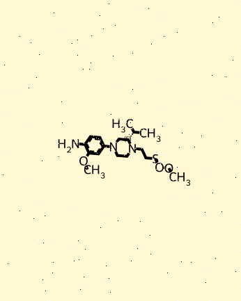 COOSCCN1CCN(c2ccc(N)c(OC)c2)C[C@@H]1C(C)C